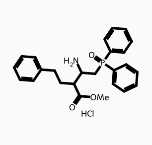 COC(=O)C(CCc1ccccc1)C(N)CP(=O)(c1ccccc1)c1ccccc1.Cl